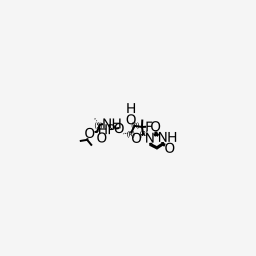 CC(C)OC(=O)[C@H](C)NPOC[C@H]1O[C@@H](n2ccc(=O)[nH]c2=O)C(C)(F)[C@@H]1O